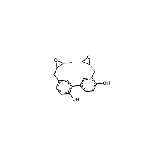 CC1OC1Cc1ccc(O)c(-c2ccc(O)c(C[C@@H]3CO3)c2)c1